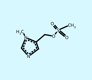 Cn1cncc1COS(C)(=O)=O